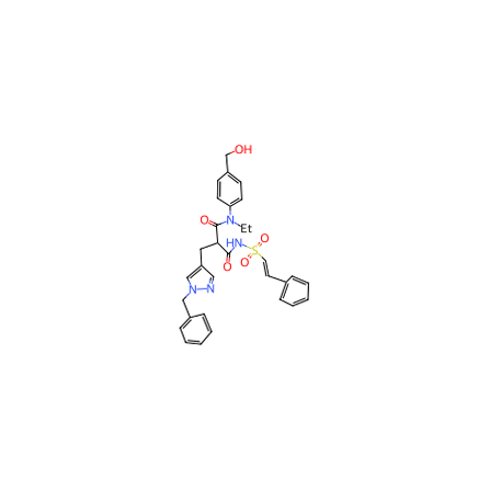 CCN(C(=O)C(Cc1cnn(Cc2ccccc2)c1)C(=O)NS(=O)(=O)/C=C/c1ccccc1)c1ccc(CO)cc1